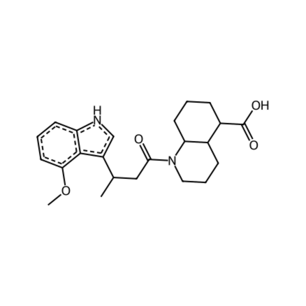 COc1cccc2[nH]cc(C(C)CC(=O)N3CCCC4C(C(=O)O)CCCC43)c12